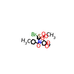 COC(=O)Oc1sc(Br)cc1N(C(=O)C1CCC(C)CC1)C1CCC2(CC1)OCCO2